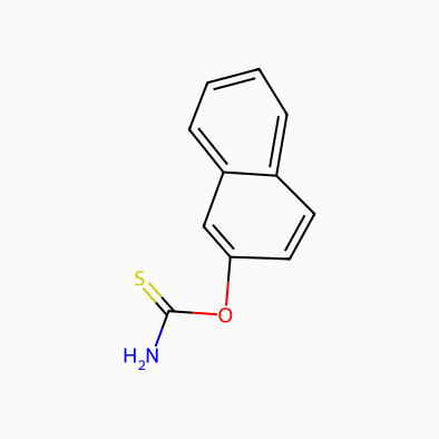 NC(=S)Oc1ccc2ccccc2c1